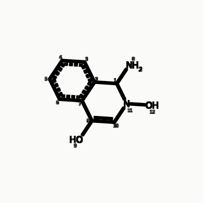 NC1c2ccccc2C(O)=CN1O